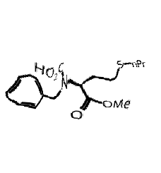 CCCSCC[C@@H](C(=O)OC)N(Cc1ccccc1)C(=O)O